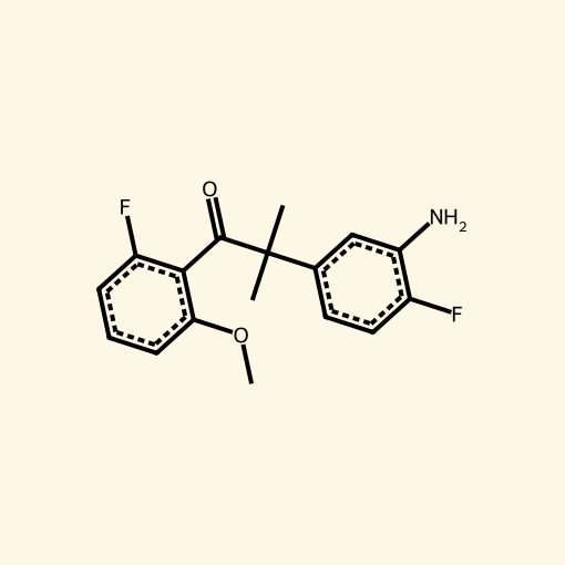 COc1cccc(F)c1C(=O)C(C)(C)c1ccc(F)c(N)c1